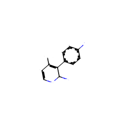 CC1=C(c2ccc(N)cc2)C(N)NC=C1